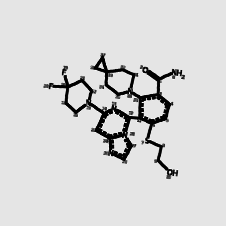 NC(=O)c1ccc(SCCO)c(-c2nc(N3CCC(F)(F)CC3)cc3nccn23)c1N1CCC2(CC1)CC2